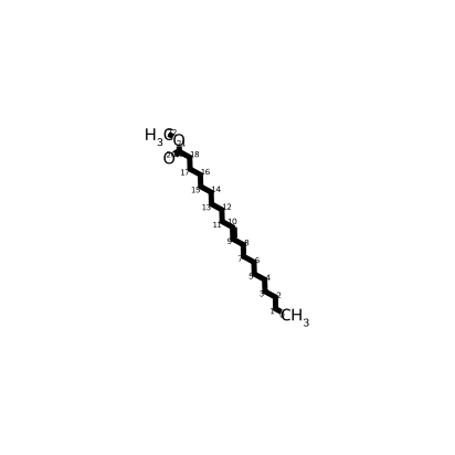 CCCCCCCCC/C=C/CCCCCCCCC(=O)OC